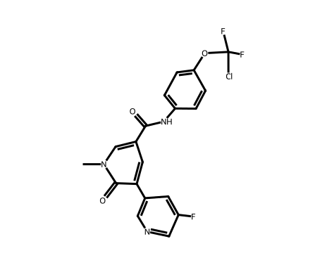 Cn1cc(C(=O)Nc2ccc(OC(F)(F)Cl)cc2)cc(-c2cncc(F)c2)c1=O